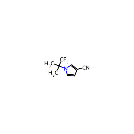 CC(C)(n1ccc(C#N)c1)C(F)(F)F